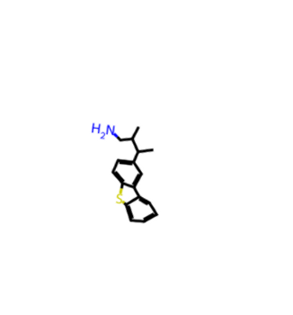 CC(CN)C(C)c1ccc2sc3ccccc3c2c1